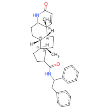 C[C@]12C=CC(=O)NC1CC[C@@H]1[C@H]2CC[C@]2(C)C(C(=O)NC(Cc3ccccc3)c3ccccc3)CC[C@@H]12